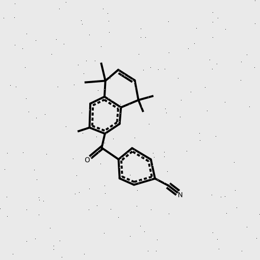 Cc1cc2c(cc1C(=O)c1ccc(C#N)cc1)C(C)(C)C=CC2(C)C